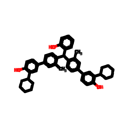 Cc1cc(-c2ccc(O)c(C3CCCCC3)c2)ccc1C(c1ccc(-c2ccc(O)c(C3CCCCC3)c2)cc1C)c1ccccc1O